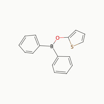 c1ccc(B(Oc2cccs2)c2ccccc2)cc1